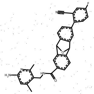 Cc1cc(N)nc(C)c1CNC(=O)c1ccc2c(c1)C1OC2c2cc(-c3ccc(F)cc3C#N)ccc21